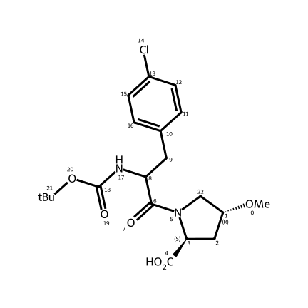 CO[C@@H]1C[C@@H](C(=O)O)N(C(=O)C(Cc2ccc(Cl)cc2)NC(=O)OC(C)(C)C)C1